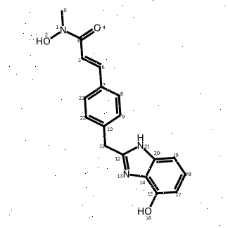 CN(O)C(=O)/C=C/c1ccc(Cc2nc3c(O)cccc3[nH]2)cc1